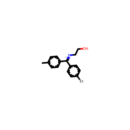 CCc1ccc(/C(=N\CCO)c2ccc(C)cc2)cc1